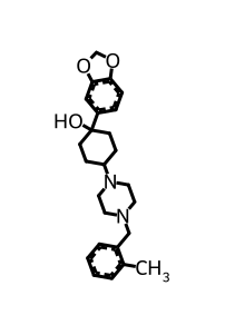 Cc1ccccc1CN1CCN(C2CCC(O)(c3ccc4c(c3)OCO4)CC2)CC1